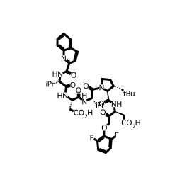 CC(C)[C@H](NC(=O)c1ccc2ccccc2n1)C(=O)N[C@@H](CC(=O)O)C(=O)N[C@H](C(=O)N1CC[C@H](CC(C)(C)C)[C@H]1C(=O)N[C@@H](CC(=O)O)C(=O)COc1c(F)cccc1F)C(C)C